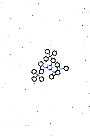 c1ccc(-n2c3ccccc3c3c2ccc2c4ccccc4n(-c4nc(-c5cccc(C(c6ccccc6)(c6ccccc6)c6ccccc6)c5)nc(-n5c6ccccc6c6cc([Si](c7ccccc7)(c7ccccc7)c7ccccc7)ccc65)n4)c23)cc1